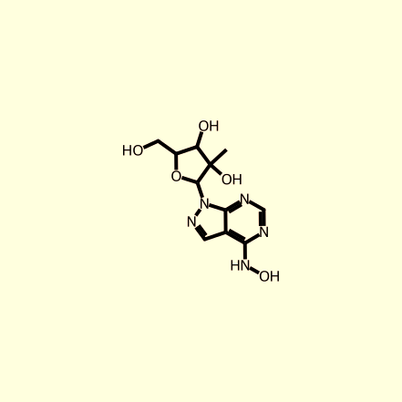 CC1(O)C(O)C(CO)OC1n1ncc2c(NO)ncnc21